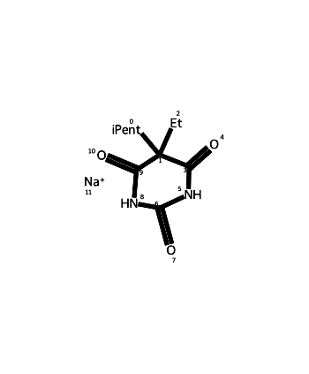 CCCC(C)C1(CC)C(=O)NC(=O)NC1=O.[Na+]